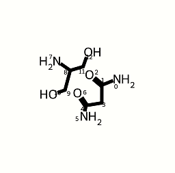 NC(=O)CC(N)=O.NC(CO)CO